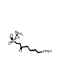 CCCCCCCCCCCC(=O)CCS(=O)(=O)ON